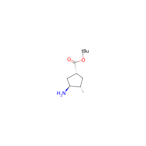 C[C@H]1C[C@@H](C(=O)OC(C)(C)C)C[C@@H]1N